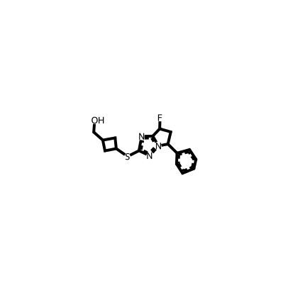 OCC1CC(Sc2nc3n(n2)C(c2ccccc2)CC3F)C1